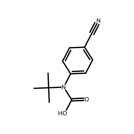 CC(C)(C)N(C(=O)O)c1ccc(C#N)cc1